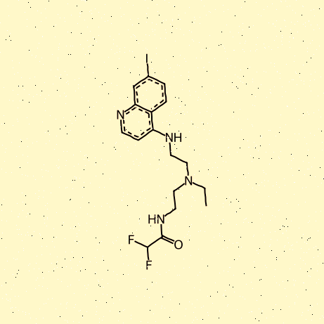 CCN(CCNC(=O)C(F)F)CCNc1ccnc2cc(I)ccc12